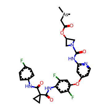 C[As](C)CC(=O)OC1CN(C(=O)Nc2cc(Oc3cc(F)c(NC(=O)C4(C(=O)Nc5ccc(F)cc5)CC4)cc3F)ccn2)C1